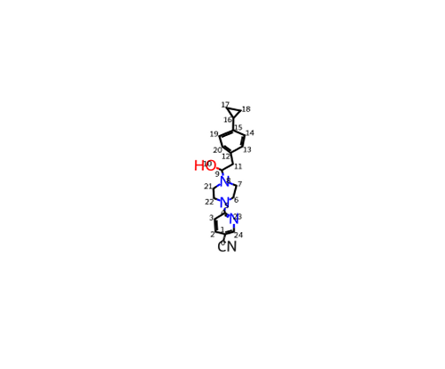 N#Cc1ccc(N2CCN(C(O)Cc3ccc(C4CC4)cc3)CC2)nc1